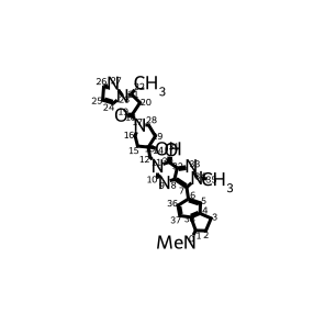 CNC1CCc2cc(-c3c4ncn(CC5(O)CCN(C(=O)CC(C)n6cccn6)CC5)c(=O)c4nn3C)ccc21